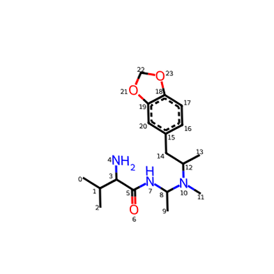 CC(C)C(N)C(=O)NC(C)N(C)C(C)Cc1ccc2c(c1)OCO2